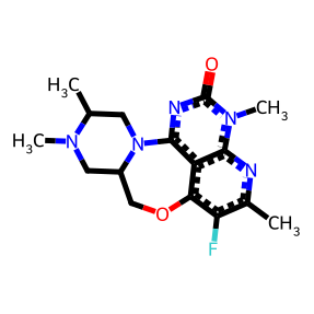 Cc1nc2c3c(nc(=O)n2C)N2CC(C)N(C)CC2COc3c1F